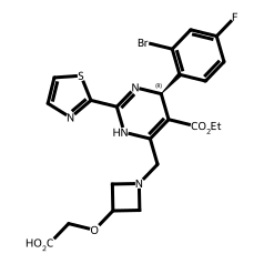 CCOC(=O)C1=C(CN2CC(OCC(=O)O)C2)NC(c2nccs2)=N[C@H]1c1ccc(F)cc1Br